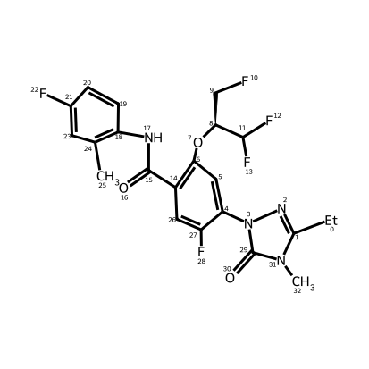 CCc1nn(-c2cc(O[C@@H](CF)C(F)F)c(C(=O)Nc3ccc(F)cc3C)cc2F)c(=O)n1C